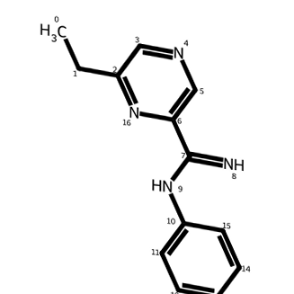 CCc1cncc(C(=N)Nc2ccccc2)n1